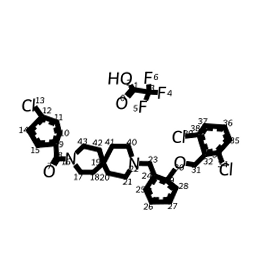 O=C(O)C(F)(F)F.O=C(c1ccc(Cl)cc1)N1CCC2(CCN(Cc3ccccc3OCc3c(Cl)cccc3Cl)CC2)CC1